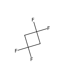 FC1(F)CC(F)(F)C1